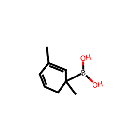 CC1=CC(C)(B(O)O)CC=C1